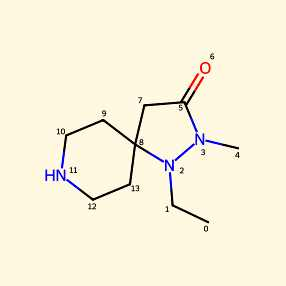 CCN1N(C)C(=O)CC12CCNCC2